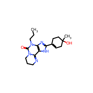 CCCN1C(=O)N2CCCN=C2c2[nH]c(C3=CCC(C)(O)CC3)nc21